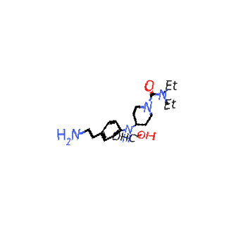 CCN(CC)C(=O)N1CCC(Nc2ccc(CCN)cc2)CC1.O=CO